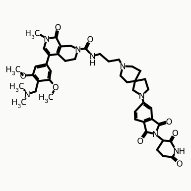 COc1cc(-c2cn(C)c(=O)c3c2CCN(C(=O)NCCCN2CCC4(CC2)CCN(c2ccc5c(c2)C(=O)N(C2CCC(=O)NC2=O)C5=O)C4)C3)cc(OC)c1CN(C)C